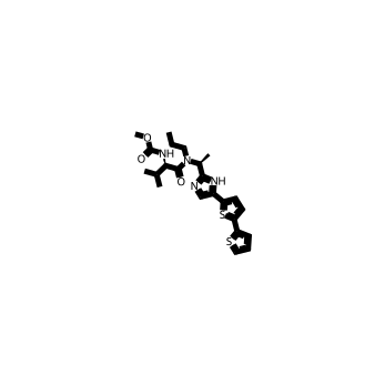 CCCN(C(=O)[C@@H](NC(=O)OC)C(C)C)[C@@H](C)c1ncc(-c2ccc(-c3cccs3)s2)[nH]1